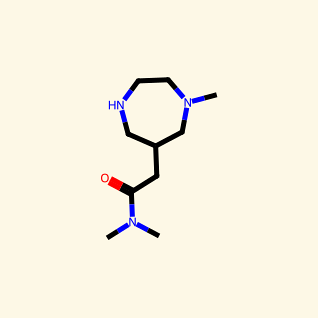 CN1CCNCC(CC(=O)N(C)C)C1